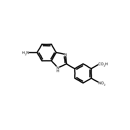 Nc1ccc2nc(-c3ccc([N+](=O)[O-])c(C(=O)O)c3)[nH]c2c1